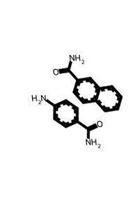 NC(=O)c1ccc(N)cc1.NC(=O)c1ccc2ccccc2c1